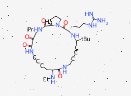 CCNC1CCCCNC(=O)C(=O)[C@H](C(C)C)NC(=O)[C@@H]2CCCN2C(=O)[C@H](CCCNC(=N)N)NC(C(C)(C)C)CCCCNC1=O